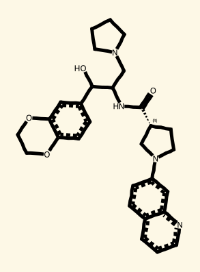 O=C(NC(CN1CCCC1)C(O)c1ccc2c(c1)OCCO2)[C@@H]1CCN(c2ccc3cccnc3c2)C1